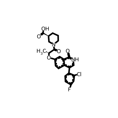 C[C@@H](Oc1ccc2c(-c3ccc(F)cc3Cl)c[nH]c(=O)c2c1)C(=O)N1CCC[C@H](C(=O)O)C1